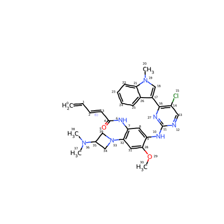 C=C/C=C/C(=O)Nc1cc(Nc2ncc(Cl)c(-c3cn(C)c4ccccc34)n2)c(OC)cc1N1CC(N(C)C)C1